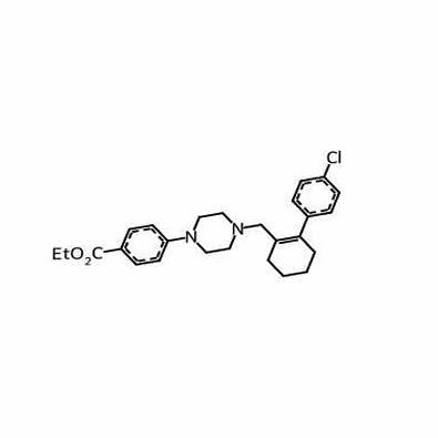 CCOC(=O)c1ccc(N2CCN(CC3=C(c4ccc(Cl)cc4)CCCC3)CC2)cc1